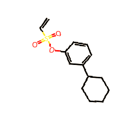 C=CS(=O)(=O)Oc1cccc(C2CCCCC2)c1